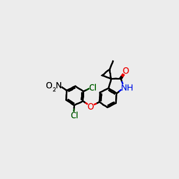 CC1CC12C(=O)Nc1ccc(Oc3c(Cl)cc([N+](=O)[O-])cc3Cl)cc12